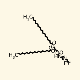 CCCCCCCCCCCCCCCCCC(=O)OCC(COC(=O)NC1CN(CC(F)F)C1)OC(=O)CCCCCCCCCCCCCCCCC